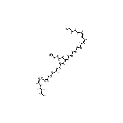 CCCCC/C=C\C/C=C\CCCCCCCCN(CCCCO)CCCCCCCC/C=C\C/C=C\CCCCC